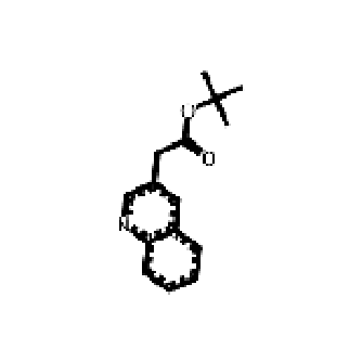 CC(C)(C)OC(=O)Cc1cnc2ccccc2c1